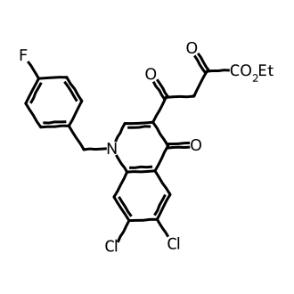 CCOC(=O)C(=O)CC(=O)c1cn(Cc2ccc(F)cc2)c2cc(Cl)c(Cl)cc2c1=O